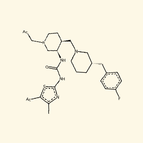 CC(=O)CN1CC[C@@H](CN2CCC[C@@H](Cc3ccc(F)cc3)C2)[C@@H](NC(=O)Nc2nc(C)c(C(C)=O)s2)C1